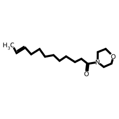 CC=CCCCCCCCCC(=O)N1CCOCC1